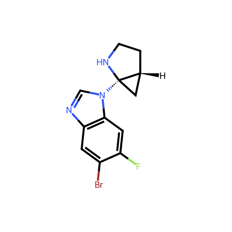 Fc1cc2c(cc1Br)ncn2[C@@]12C[C@H]1CCN2